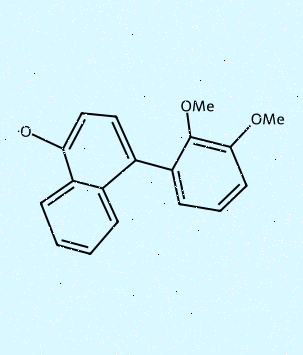 COc1cccc(-c2ccc([O])c3ccccc23)c1OC